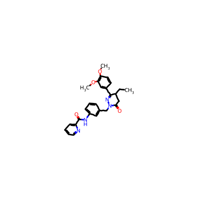 CCC1CC(=O)N(Cc2cccc(NC(=O)c3ccccn3)c2)N=C1c1ccc(OC)c(OC)c1